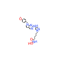 COc1ccc(Cn2ccc3cnc(Nc4cnn(CCCCCC(=O)NO)c4)nc32)cc1